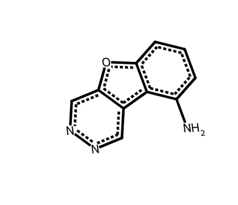 Nc1cccc2oc3cnncc3c12